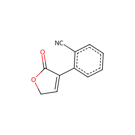 N#Cc1ccccc1C1=CCOC1=O